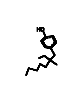 CCCCCC(C)(CC)Cc1ccc(O)cc1